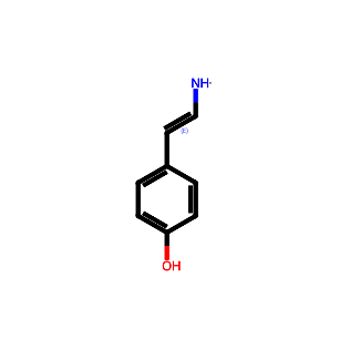 [NH]/C=C/c1ccc(O)cc1